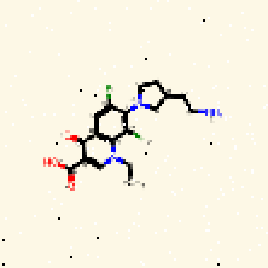 CCn1cc(C(=O)O)c(=O)c2cc(F)c(N3CCC(CCN)C3)c(F)c21